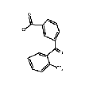 O=C(Cl)c1cccc(C(=O)c2ccccc2C(F)(F)F)c1